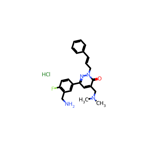 CN(C)Cc1cc(-c2ccc(F)c(CN)c2)nn(CC=Cc2ccccc2)c1=O.Cl